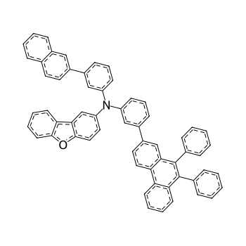 c1ccc(-c2c(-c3ccccc3)c3cc(-c4cccc(N(c5cccc(-c6ccc7ccccc7c6)c5)c5ccc6oc7ccccc7c6c5)c4)ccc3c3ccccc23)cc1